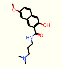 COc1ccc2cc(O)c(C(=O)NCCCN(C)C)cc2c1